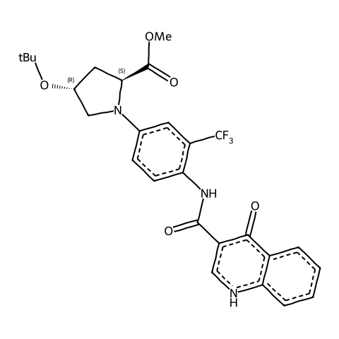 COC(=O)[C@@H]1C[C@@H](OC(C)(C)C)CN1c1ccc(NC(=O)c2c[nH]c3ccccc3c2=O)c(C(F)(F)F)c1